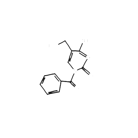 Nc1nc(=O)n(C(=O)c2ccccc2)cc1CC(=O)O